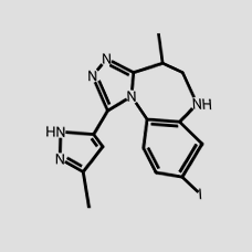 Cc1cc(-c2nnc3n2-c2ccc(I)cc2NCC3C)[nH]n1